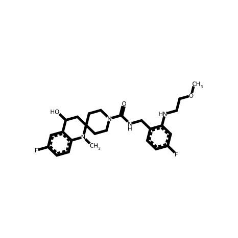 COCCNc1cc(F)ccc1CNC(=O)N1CCC2(CC1)CC(O)c1cc(F)ccc1N2C